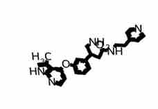 Cc1c[nH]c2nccc(Oc3cccc(C(CN)CC(=O)NCCc4ccncc4)c3)c12